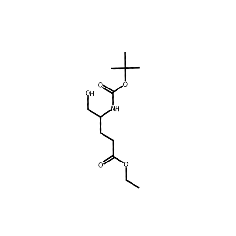 CCOC(=O)CCC(CO)NC(=O)OC(C)(C)C